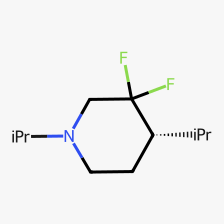 CC(C)[C@@H]1CCN(C(C)C)CC1(F)F